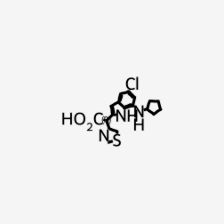 O=C(O)[C@@H](c1cc2cc(Cl)cc(NC3CCCC3)c2[nH]1)C1CSC=N1